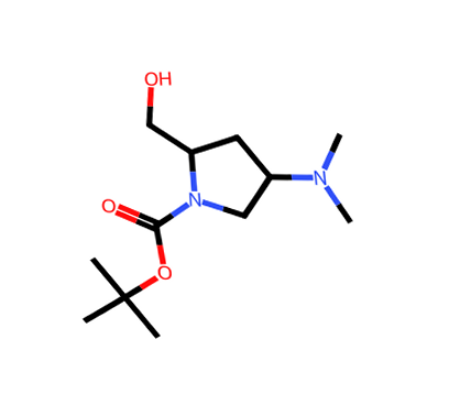 CN(C)C1CC(CO)N(C(=O)OC(C)(C)C)C1